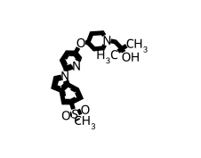 CC(C)(O)CN1CCC(Oc2ccc(-n3ccc4cc(S(C)(=O)=O)ccc43)nc2)CC1